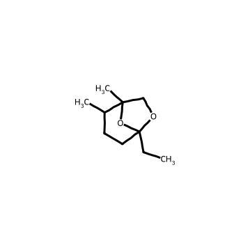 CCC12CCC(C)C(C)(CO1)O2